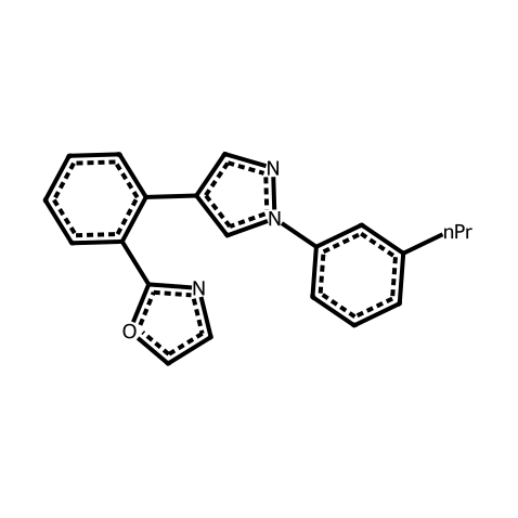 CCCc1cccc(-n2cc(-c3ccccc3-c3ncco3)cn2)c1